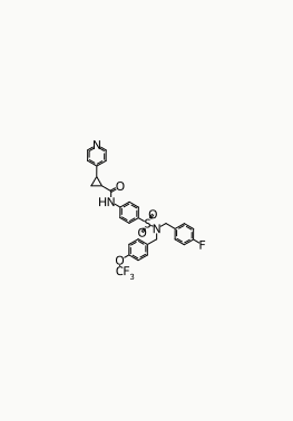 O=C(Nc1ccc(S(=O)(=O)N(Cc2ccc(F)cc2)Cc2ccc(OC(F)(F)F)cc2)cc1)C1CC1c1ccncc1